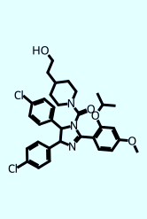 COc1ccc(C2=NC(c3ccc(Cl)cc3)C(c3ccc(Cl)cc3)N2C(=O)N2CCC(CCO)CC2)c(OC(C)C)c1